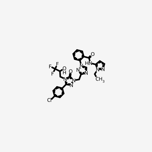 CCn1nccc1NC(=O)c1ccccc1-n1cnc(Cn2nc(-c3ccc(Cl)cc3)n(CC(O)C(F)(F)F)c2=O)n1